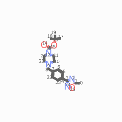 Cc1nc(-c2ccc(CN3CCN(C(=O)OC(C)(C)C)CC3)cc2)no1